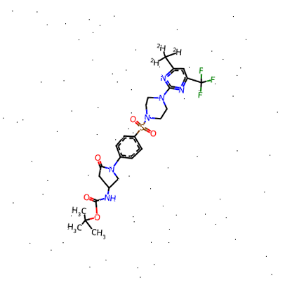 [2H]C([2H])([2H])c1cc(C(F)(F)F)nc(N2CCN(S(=O)(=O)c3ccc(N4CC(NC(=O)OC(C)(C)C)CC4=O)cc3)CC2)n1